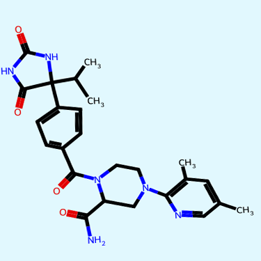 Cc1cnc(N2CCN(C(=O)c3ccc(C4(C(C)C)NC(=O)NC4=O)cc3)C(C(N)=O)C2)c(C)c1